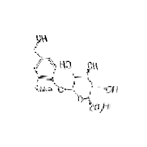 CNc1cc(CO)ccc1O[C@@H]1O[C@H](C(=O)O)[C@@H](O)[C@H](O)[C@H]1O